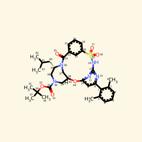 Cc1cccc(C)c1-c1cc2nc(n1)NS(=O)(=O)c1cccc(c1)C(=O)N1C[C@H](CN(C(=O)OC(C)(C)C)C[C@@H]1CC(C)C)O2